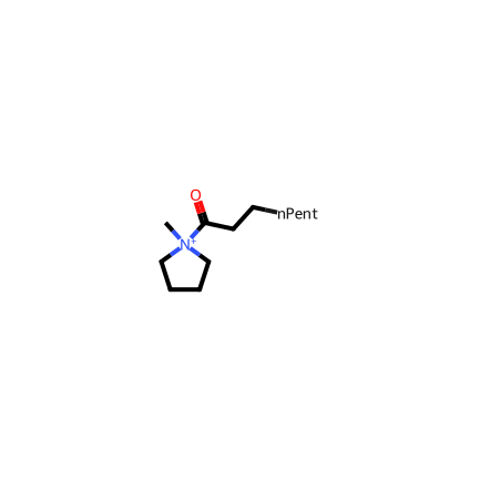 CCCCCCCC(=O)[N+]1(C)CCCC1